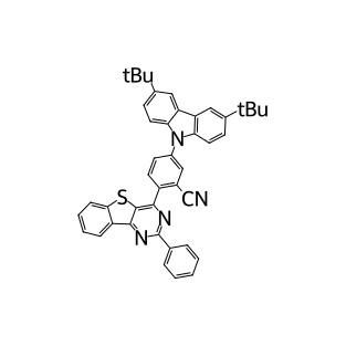 CC(C)(C)c1ccc2c(c1)c1cc(C(C)(C)C)ccc1n2-c1ccc(-c2nc(-c3ccccc3)nc3c2sc2ccccc23)c(C#N)c1